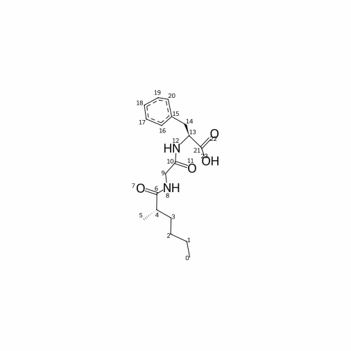 CCCC[C@H](C)C(=O)NCC(=O)N[C@@H](Cc1ccccc1)C(=O)O